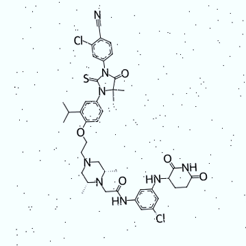 CC(C)c1cc(N2C(=S)N(c3ccc(C#N)c(Cl)c3)C(=O)C2(C)C)ccc1OCCN1C[C@@H](C)N(CC(=O)Nc2cc(Cl)cc(NC3CCC(=O)NC3=O)c2)[C@@H](C)C1